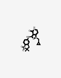 CC1(C)Cc2cc(Nc3nn(CC4CC4)c4cc[nH]c(=O)c34)ccc2S1(=O)=O